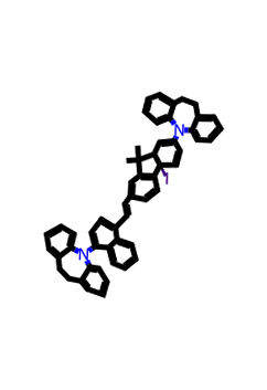 CC1(C)c2cc(/C=C/c3ccc(N4c5ccccc5CCc5ccccc54)c4ccccc34)ccc2[C@@]2(I)C=CC(N3c4ccccc4CCc4ccccc43)=CC12